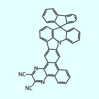 N#Cc1nc2c3ccccc3c3cc4c(cc3c2nc1C#N)c1cccc2c1n4-c1ccccc1C21c2ccccc2-c2ccccc21